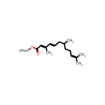 CCCCCOC(=O)/C=C(C)/C=C/CC(C)CCC=C(C)C